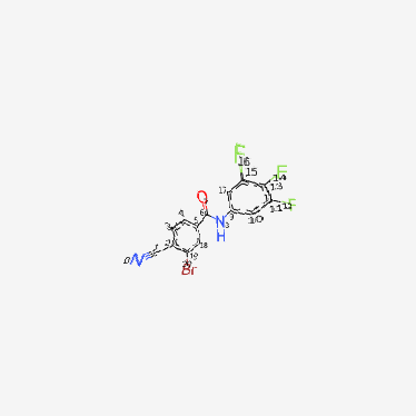 N#Cc1ccc(C(=O)Nc2cc(F)c(F)c(F)c2)cc1Br